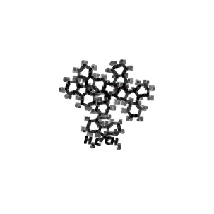 CC1(C)c2ccccc2-c2c(-c3ccc(N(c4ccc5c6ccccc6c6ccccc6c5c4)c4cc5c(cc4-c4cccc6ccccc46)-c4ccccc4C54c5ccccc5-c5ccccc54)cc3)cccc21